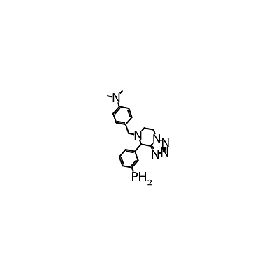 CN(C)c1ccc(CN2CCn3nnnc3C2c2cccc(P)c2)cc1